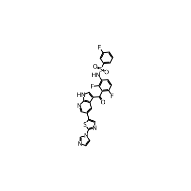 O=C(c1c(F)ccc(NS(=O)(=O)c2cccc(F)c2)c1F)c1c[nH]c2ncc(-c3cnc(-n4ccnc4)s3)cc12